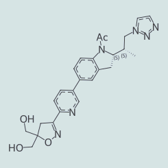 CC(=O)N1c2ccc(-c3ccc(C4=NOC(CO)(CO)C4)nc3)cc2C[C@H]1[C@@H](C)Cn1ccnn1